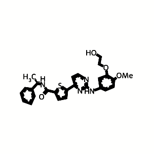 COc1ccc(Nc2nccc(-c3ccc(C(=O)N[C@H](C)c4ccccc4)s3)n2)cc1OCCO